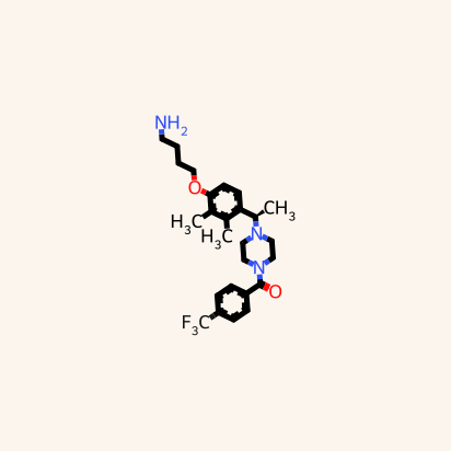 Cc1c(OCCCCN)ccc([C@@H](C)N2CCN(C(=O)c3ccc(C(F)(F)F)cc3)CC2)c1C